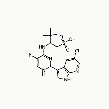 CC(C)(C)[C@@H](CS(=O)(=O)O)NC1=NC(c2c[nH]c3ncc(Cl)cc23)NC=C1F